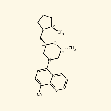 C[C@@H]1CN(c2ccc(C#N)c3ncccc23)C[C@@H](CN2CCC[C@H]2C(F)(F)F)O1